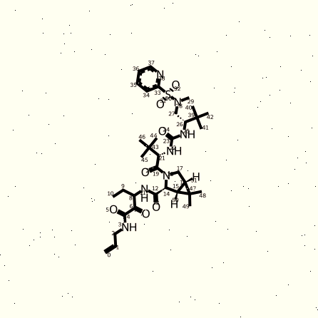 C=CCNC(=O)C(=O)C(CC)NC(=O)[C@@H]1[C@@H]2[C@H](CN1C(=O)[C@@H](NC(=O)N[C@H](CN(C)S(=O)(=O)c1ccccn1)C(C)(C)C)C(C)(C)C)C2(C)C